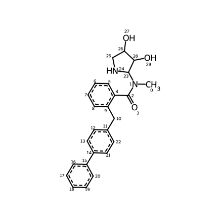 CN(C(=O)c1ccccc1Cc1ccc(-c2ccccc2)cc1)C1NCC(O)C1O